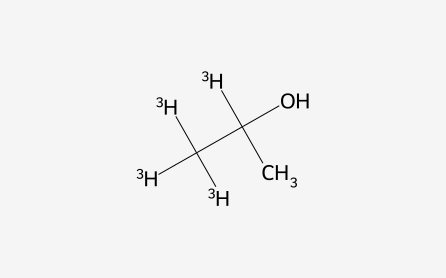 [3H]C([3H])([3H])C([3H])(C)O